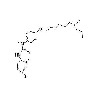 C=CCN(C)CCCCCCOc1ccc(N(C)C(=S)Nc2ccc(Br)cc2C)cc1